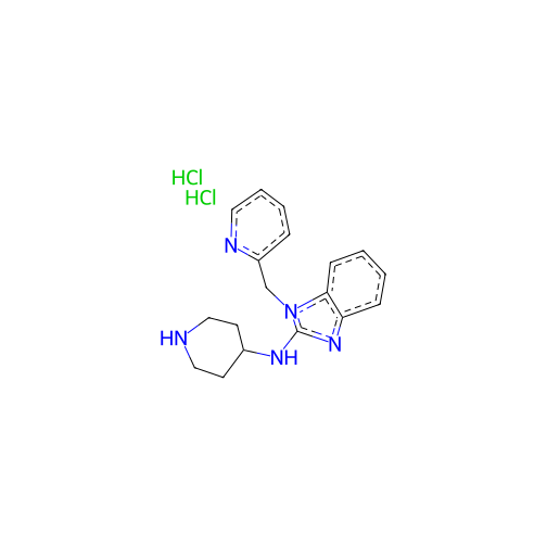 Cl.Cl.c1ccc(Cn2c(NC3CCNCC3)nc3ccccc32)nc1